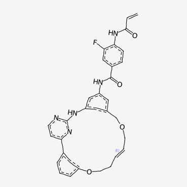 C=CC(=O)Nc1ccc(C(=O)Nc2cc3cc(c2)Nc2nccc(n2)-c2cccc(c2)OCC/C=C/COC3)cc1F